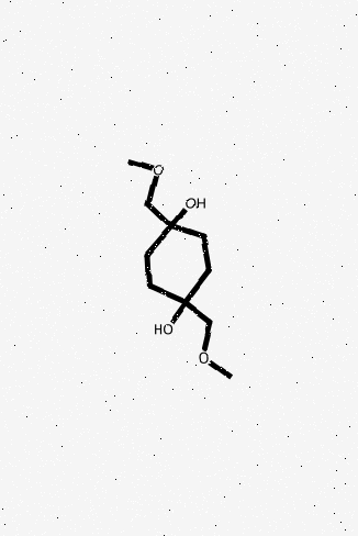 COCC1(O)CCC(O)(COC)CC1